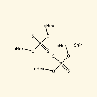 CCCCCCOP(=S)([S-])OCCCCCC.CCCCCCOP(=S)([S-])OCCCCCC.[Sn+2]